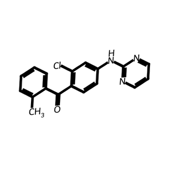 Cc1ccccc1C(=O)c1ccc(Nc2ncccn2)cc1Cl